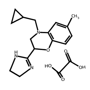 Cc1ccc2c(c1)N(CC1CC1)CC(C1=NCCN1)O2.O=C(O)C(=O)O